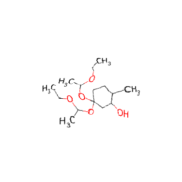 CCOC(C)OC1(OC(C)OCC)CCC(C)C(O)C1